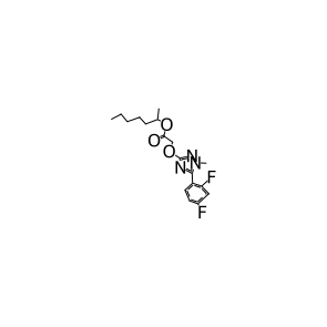 CCCCCC(C)OC(=O)COc1nc(-c2ccc(F)cc2F)n(C)n1